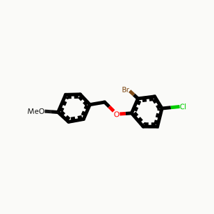 COc1ccc(COc2ccc(Cl)cc2Br)cc1